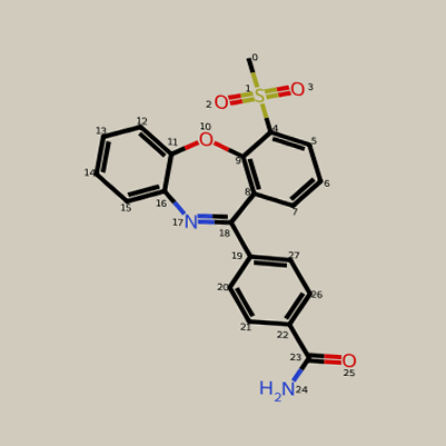 CS(=O)(=O)c1cccc2c1Oc1ccccc1N=C2c1ccc(C(N)=O)cc1